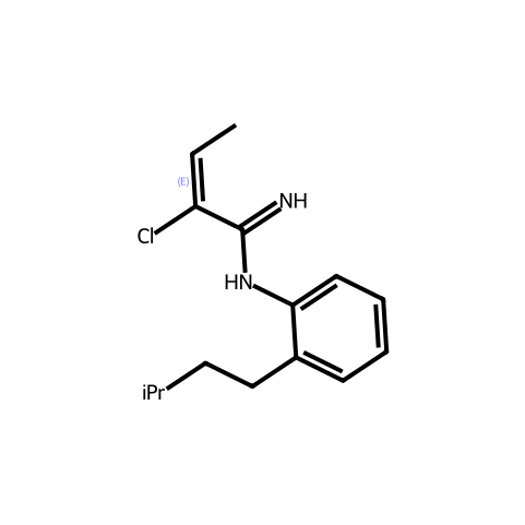 C/C=C(/Cl)C(=N)Nc1ccccc1CCC(C)C